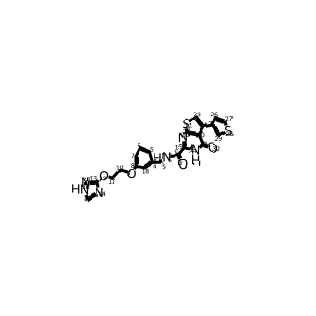 O=C(NCc1cccc(OCCOc2nc[nH]n2)c1)c1nc2scc(-c3ccsc3)c2c(=O)[nH]1